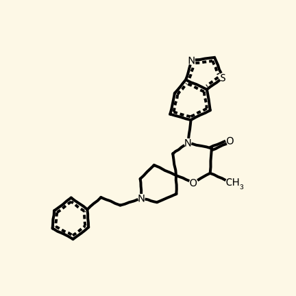 CC1OC2(CCN(CCc3ccccc3)CC2)CN(c2ccc3ncsc3c2)C1=O